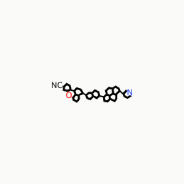 N#Cc1ccc2c(c1)Oc1cccc3c(-c4ccc5cc(-c6ccc7ccc8c(-c9cccnc9)ccc9ccc6c7c98)ccc5c4)ccc-2c13